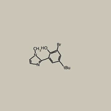 Cn1ccnc1-c1cc(C(C)(C)C)cc(Br)c1O